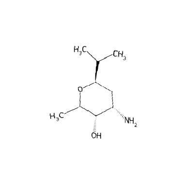 CC1O[C@@H](C(C)C)C[C@H](N)[C@@H]1O